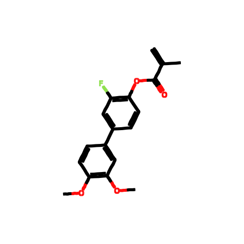 C=C(C)C(=O)Oc1ccc(-c2ccc(OC)c(OC)c2)cc1F